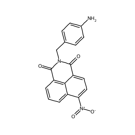 Nc1ccc(CN2C(=O)c3cccc4c([N+](=O)[O-])ccc(c34)C2=O)cc1